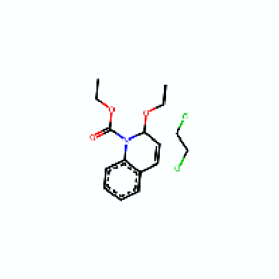 CCOC(=O)N1c2ccccc2C=CC1OCC.ClCCCl